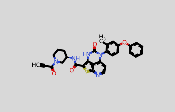 C#CC(=O)N1CCC[C@@H](NC(=O)c2sc3nccc4c3c2NC(=O)N4c2ccc(Oc3ccccc3)cc2C)C1